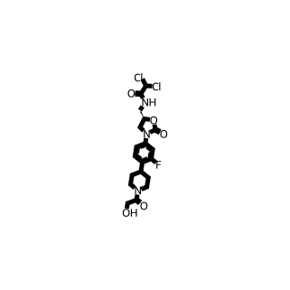 O=C(NC[C@H]1CN(c2ccc(C3CCN(C(=O)CO)CC3)c(F)c2)C(=O)O1)C(Cl)Cl